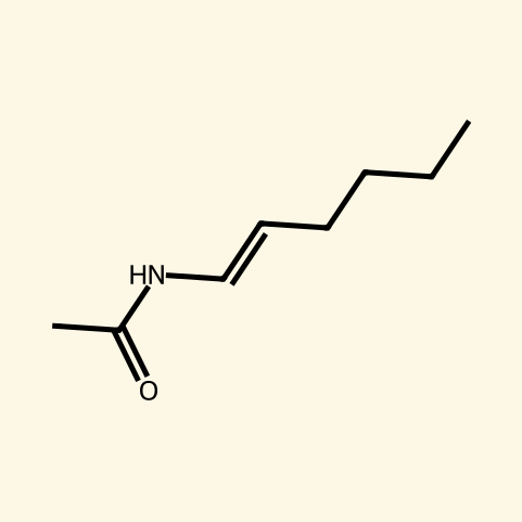 CCCCC=CNC(C)=O